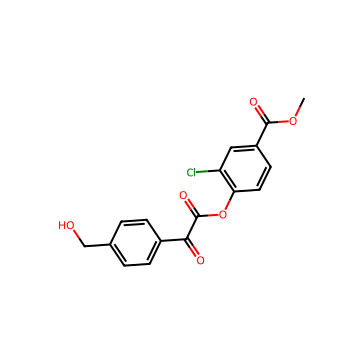 COC(=O)c1ccc(OC(=O)C(=O)c2ccc(CO)cc2)c(Cl)c1